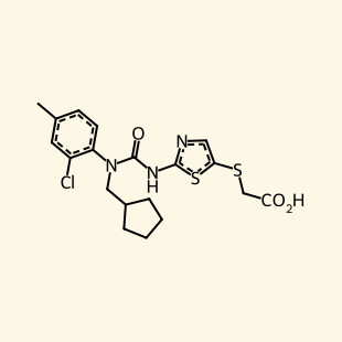 Cc1ccc(N(CC2CCCC2)C(=O)Nc2ncc(SCC(=O)O)s2)c(Cl)c1